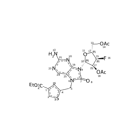 CCOC(=O)c1csc(Cn2c(=O)n([C@@H]3O[C@H](COC(C)=O)[C@@H](F)[C@H]3OC(C)=O)c3nc(N)ncc32)c1